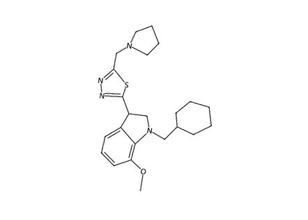 COc1cccc2c1N(CC1CCCCC1)CC2c1nnc(CN2CCCC2)s1